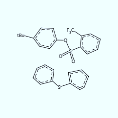 CC(C)(C)c1ccc(OS(=O)(=O)c2ccccc2C(F)(F)F)cc1.c1ccc(Sc2ccccc2)cc1